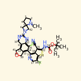 CN1CCCC12CN(c1ncc3c4c(c(-c5ncc(F)c6sc(NC(=O)OC(C)(C)C)c(C#N)c56)c(F)c3n1)COC4)C2